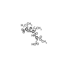 CCOC(=O)c1cc(NC(=O)c2cc(NC(=O)c3cc([N+](=O)[O-])cn3CC(C)C)cn2CC(C)C)cn1CCC(=O)O